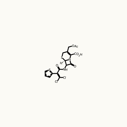 CC(=O)OCC1=C(C(=O)O)N2C(=O)C(NC(=O)C(=C(Cl)Cl)c3cccs3)[C@H]2SC1